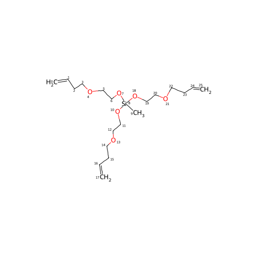 C=CCCOCCO[Si](C)(OCCOCCC=C)OCCOCCC=C